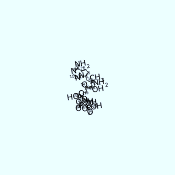 C[C@]1(N)C(c2ccc3c(N)ncnn23)O[C@H](COP(=O)(O)OP(=O)(O)OP(=O)(O)O)[C@H]1O